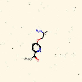 COC(=O)c1ccc(OC[C@H](C)N)cn1